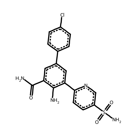 NC(=O)c1cc(-c2ccc(Cl)cc2)cc(-c2ccc(S(N)(=O)=O)cn2)c1N